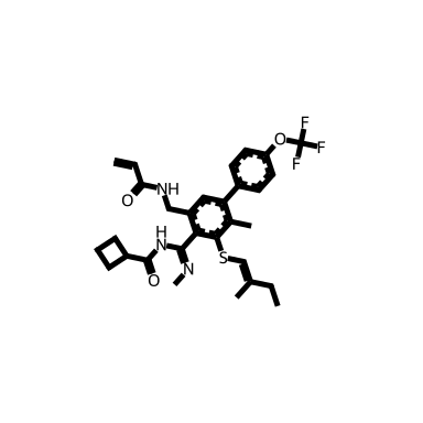 C=CC(=O)NCc1cc(-c2ccc(OC(F)(F)F)cc2)c(C)c(S/C=C(\C)CC)c1/C(=N/C)NC(=O)C1CCC1